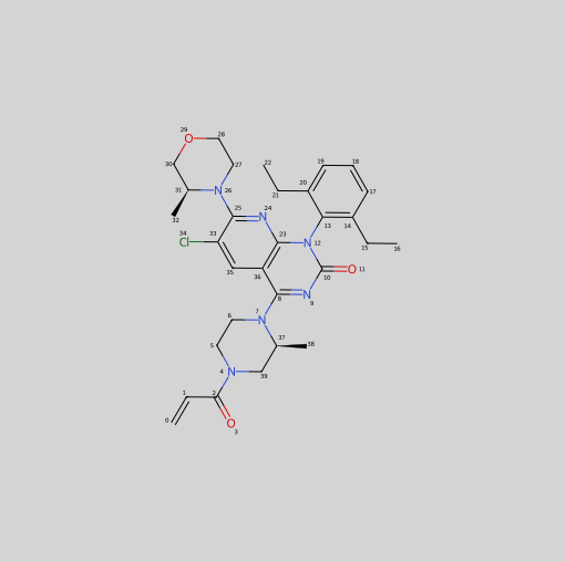 C=CC(=O)N1CCN(c2nc(=O)n(-c3c(CC)cccc3CC)c3nc(N4CCOC[C@@H]4C)c(Cl)cc23)[C@@H](C)C1